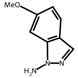 COc1ccc2cnn(N)c2c1